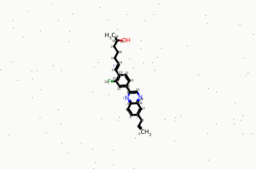 C=CCc1ccc2nc(-c3ccc(/C=C/CCCC(C)O)c(F)c3)cnc2c1